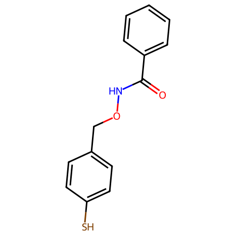 O=C(NOCc1ccc(S)cc1)c1ccccc1